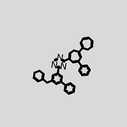 C1=CC=C(C2=CC(c3ccccc3)=CC(c3ncnc(-c4cc(CC5=CCCC=C5)cc(-c5ccccc5)c4)n3)=CC2)CC=C1